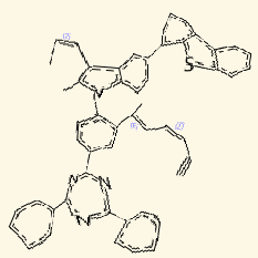 C#C/C=C\C=C(/C)c1cc(-c2nc(-c3ccccc3)nc(-c3ccccc3)n2)ccc1-n1c(C)c(/C=C\C)c2cc(-c3cccc4c3sc3ccccc34)ccc21